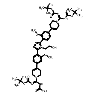 COc1cc(C2=CCN(/C(=N\C(=O)OC(C)(C)C)NC(=O)O)CC2)ccc1-c1nnc(-c2ccc(C3=CCN(/C(=N\C(=O)OC(C)(C)C)NC(=O)OC(C)(C)C)CC3)cc2OC)n1CCO